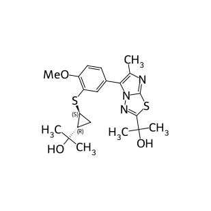 COc1ccc(-c2c(C)nc3sc(C(C)(C)O)nn23)cc1S[C@H]1C[C@@H]1C(C)(C)O